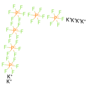 F[P-](F)(F)(F)(F)F.F[P-](F)(F)(F)(F)F.F[P-](F)(F)(F)(F)F.F[P-](F)(F)(F)(F)F.F[P-](F)(F)(F)(F)F.F[P-](F)(F)(F)(F)F.[K+].[K+].[K+].[K+].[K+].[K+]